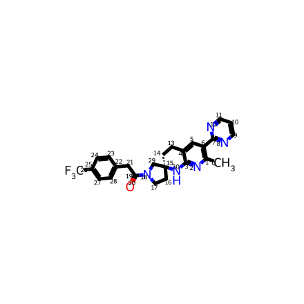 Cc1nc2c(cc1-c1ncccn1)CC[C@@]1(CCN(C(=O)Cc3ccc(C(F)(F)F)cc3)C1)N2